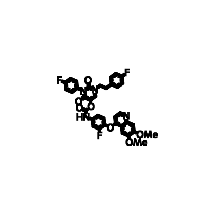 COc1cc2nccc(Oc3ccc(NC(=O)Oc4cn(CCc5ccc(F)cc5)c(=O)n(-c5ccc(F)cc5)c4=O)cc3F)c2cc1OC